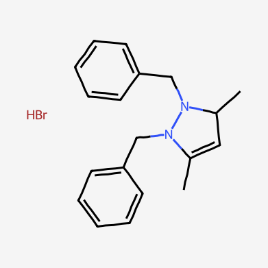 Br.CC1=CC(C)N(Cc2ccccc2)N1Cc1ccccc1